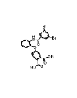 O=C(Nc1ccccc1Oc1ccc(C(=O)O)c(C(=O)O)c1)c1cc(Br)cc(Br)c1